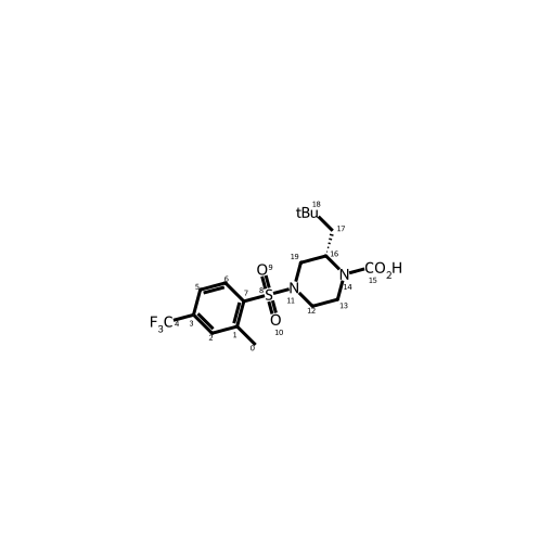 Cc1cc(C(F)(F)F)ccc1S(=O)(=O)N1CCN(C(=O)O)[C@@H](CC(C)(C)C)C1